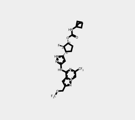 O=C(NC12CC(C1)C2)O[C@@H]1CC[C@H](c2cc(Nc3nc(C(F)(F)F)cn4nc(COC(F)(F)F)cc34)n[nH]2)[C@H]1F